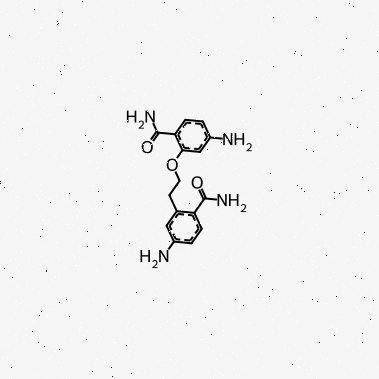 NC(=O)c1ccc(N)cc1CCOc1cc(N)ccc1C(N)=O